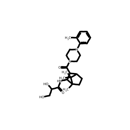 Cc1ccccc1N1CCN(C(=O)C2C3CCC(C)(C2NC(=O)C(O)CO)C3(C)C)CC1